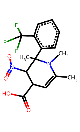 CC1=CC(C(=O)O)C([N+](=O)[O-])C(C)(c2ccccc2C(F)(F)F)N1C